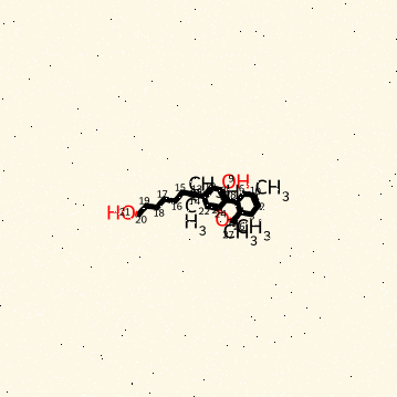 CC1=CCC2[C@@H](C1)c1c(O)cc(C(C)(C)CCCCCCO)cc1OC2(C)C